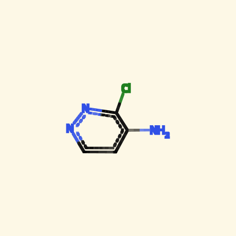 Nc1ccnnc1Cl